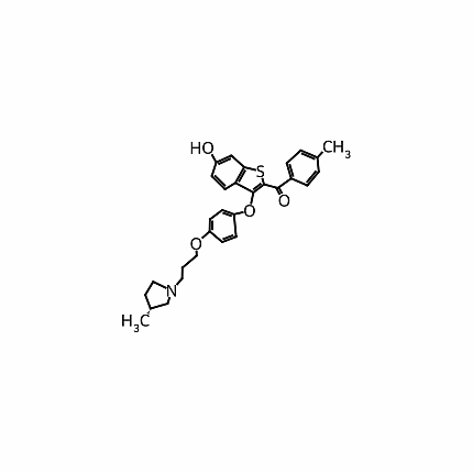 Cc1ccc(C(=O)c2sc3cc(O)ccc3c2Oc2ccc(OCCCN3CC[C@@H](C)C3)cc2)cc1